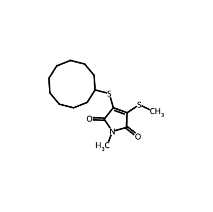 CSC1=C(SC2CCCCCCCCC2)C(=O)N(C)C1=O